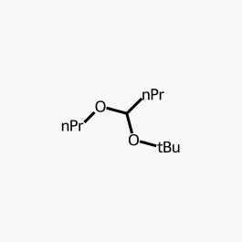 CCCOC(CCC)OC(C)(C)C